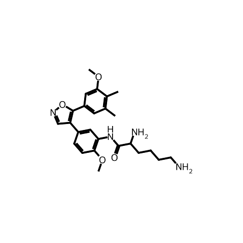 COc1ccc(-c2cnoc2-c2cc(C)c(C)c(OC)c2)cc1NC(=O)C(N)CCCCN